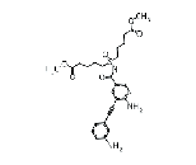 COC(=O)CCCCS(=O)(CCCCC(=O)OC)=NC(=O)c1cnc(N)c(C#Cc2cccc(N)c2)c1